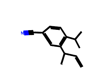 [CH2]C(C=C)c1cc(C#N)ccc1C(C)C